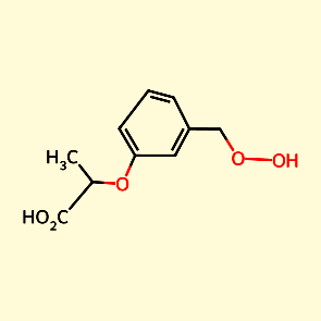 CC(Oc1cccc(COO)c1)C(=O)O